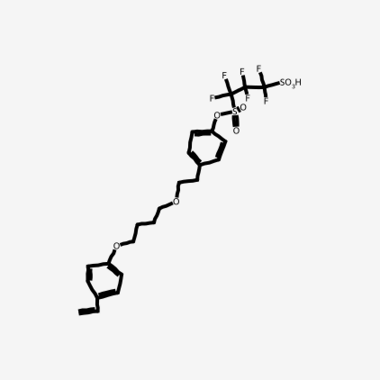 C=Cc1ccc(OCCCCOCCc2ccc(OS(=O)(=O)C(F)(F)C(F)(F)C(F)(F)S(=O)(=O)O)cc2)cc1